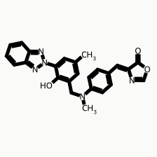 Cc1cc(CN(C)c2ccc(/C=C3\N=COC3=O)cc2)c(O)c(-n2nc3ccccc3n2)c1